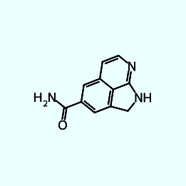 NC(=O)c1cc2c3c(nccc3c1)NC2